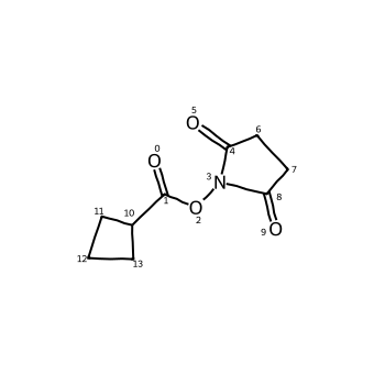 O=C(ON1C(=O)CCC1=O)C1CCC1